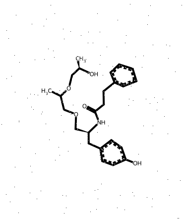 CC(COC[C@H](Cc1ccc(O)cc1)NC(=O)CCc1ccccc1)OC[C@@H](C)O